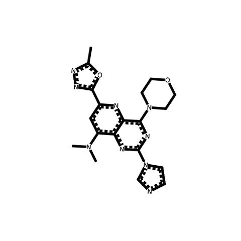 Cc1nnc(-c2cc(N(C)C)c3nc(-n4ccnc4)nc(N4CCOCC4)c3n2)o1